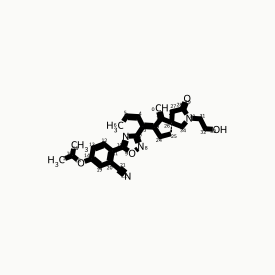 C=C1/C(=C(\C=C/C)c2noc(-c3ccc(OC(C)C)cc3C#N)n2)CC[C@@]12CC(=O)N(CCO)C2